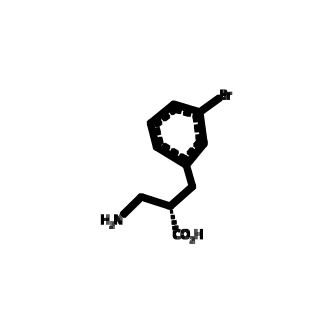 NC[C@H](Cc1cccc(Br)c1)C(=O)O